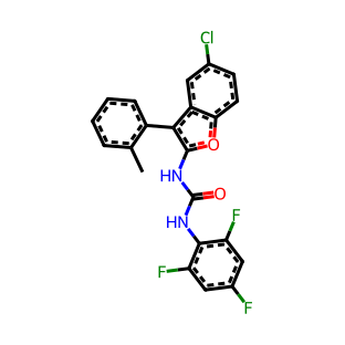 Cc1ccccc1-c1c(NC(=O)Nc2c(F)cc(F)cc2F)oc2ccc(Cl)cc12